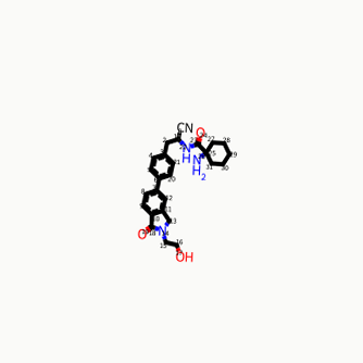 N#CC(Cc1ccc(-c2ccc3c(c2)CN(CCO)C3=O)cc1)NC(=O)C1(N)CCCCC1